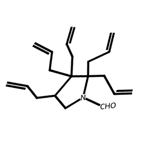 C=CCC1CN(C=O)C(CC=C)(CC=C)C1(CC=C)CC=C